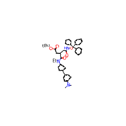 CCN(C(=O)C(CC(=O)NOC(c1ccccc1)(c1ccccc1)c1ccccc1)CC(=O)OC(C)(C)C)c1ccc(-c2ccc(N(C)C)cc2)cc1